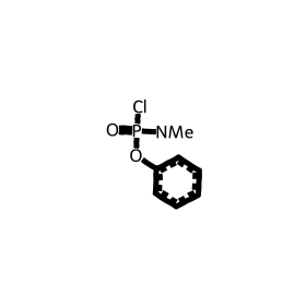 CNP(=O)(Cl)Oc1ccccc1